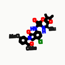 COC(=O)c1ccc(OC)cc1N1Cc2c(Cl)ccc(Nc3c(N[C@@H](c4cc(C)c(C)o4)C(C)(C)C)c(=O)c3=O)c2C1=O